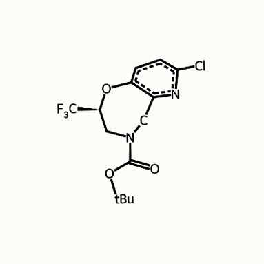 CC(C)(C)OC(=O)N1Cc2nc(Cl)ccc2O[C@H](C(F)(F)F)C1